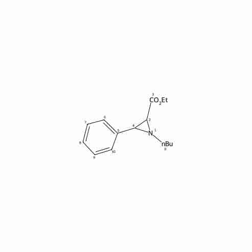 CCCCN1C(C(=O)OCC)C1c1ccccc1